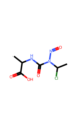 [CH2]C(NC(=O)N(N=O)C(C)Cl)C(=O)O